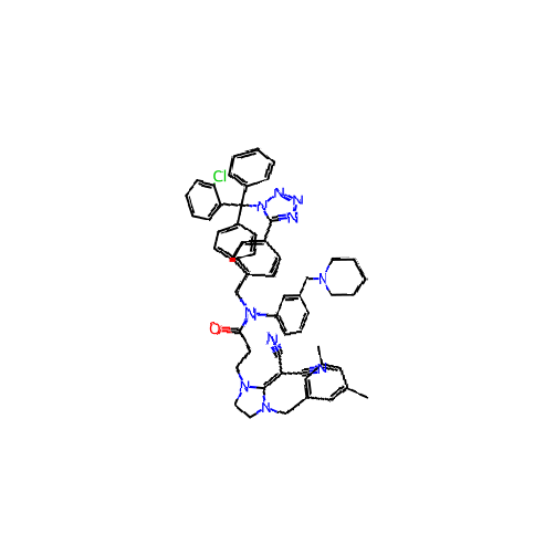 Cc1cc(C)cc(CN2CCN(CCC(=O)N(Cc3ccc(-c4nnnn4C(c4ccccc4)(c4ccccc4)c4ccccc4Cl)cc3)c3cccc(CN4CCCCC4)c3)C2=C(C#N)C#N)c1